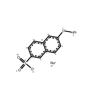 CCCOc1ccc2cc(S(=O)(=O)[O-])ccc2c1.[Na+]